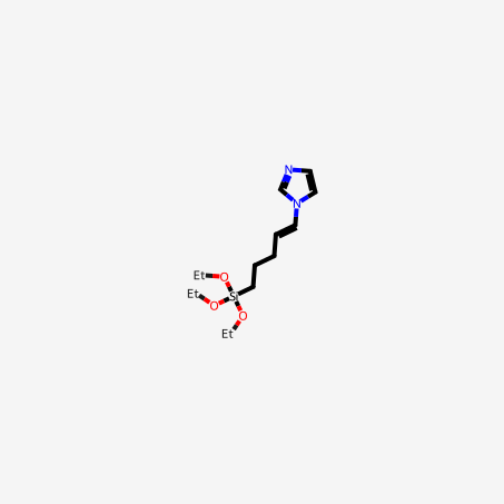 CCO[Si](CCCC=Cn1ccnc1)(OCC)OCC